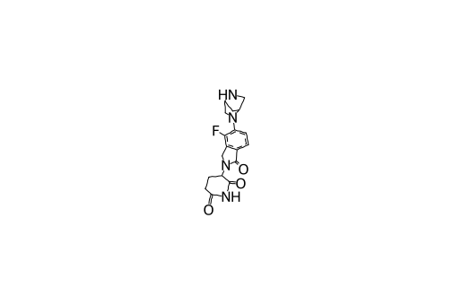 O=C1CCC(N2Cc3c(ccc(N4CC5CC4CN5)c3F)C2=O)C(=O)N1